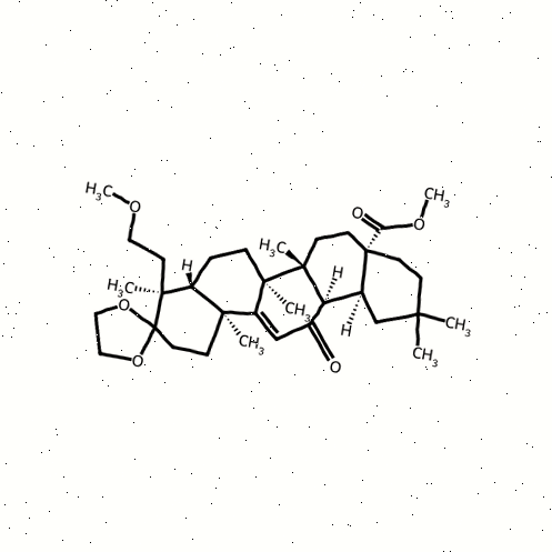 COCC[C@@]1(C)[C@@H]2CC[C@]3(C)C(=CC(=O)[C@@H]4[C@@H]5CC(C)(C)CC[C@]5(C(=O)OC)CC[C@]43C)[C@@]2(C)CCC12OCCO2